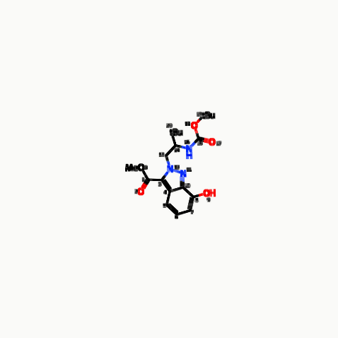 COC(=O)c1c2cccc(O)c2nn1CC(NC(=O)OC(C)(C)C)C(C)(C)C